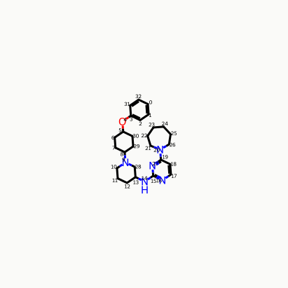 c1ccc(OC2CCC(N3CCCC(Nc4nccc(N5CCCCCC5)n4)C3)CC2)cc1